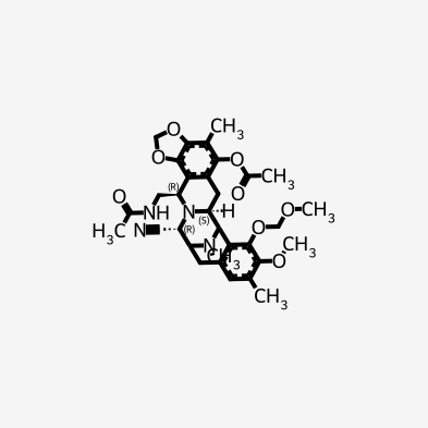 COCOc1c(OC)c(C)cc2c1C1[C@@H]3Cc4c(OC(C)=O)c(C)c5c(c4[C@H](CNC(C)=O)N3[C@@H](C#N)C(C2)N1C)OCO5